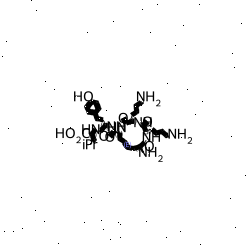 CC(C)C[C@H](NC(=O)[C@H](CCc1ccc(O)cc1)NC(=O)[C@@H]1C/C=C/C[C@H](N)C(=O)N[C@@H](CCCCN)C(=O)N[C@@H](CCCCN)C(=O)N1)C(=O)O